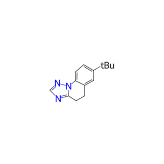 CC(C)(C)c1ccc2c(c1)CCc1ncnn1-2